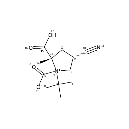 CC(C)(C)[N+]1(C(=O)[O-])C[C@@H](C#N)C[C@@]1(C)C(=O)O